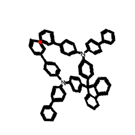 C1=C=C(C2(c3ccc(N(c4ccc(-c5ccccc5)cc4)c4ccc(-c5ccccc5)cc4)cc3)C3=CC=CCC3c3ccccc32)C=CC=1N(c1ccc(-c2ccccc2)cc1)c1ccc(-c2ccccc2)cc1